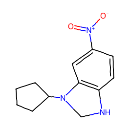 O=[N+]([O-])c1ccc2c(c1)N(C1CCCC1)CN2